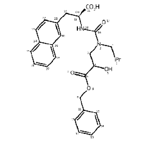 CC(C)CN(CC(O)C(=O)OCc1ccccc1)C(=O)N[C@@H](Cc1ccc2ccccc2c1)C(=O)O